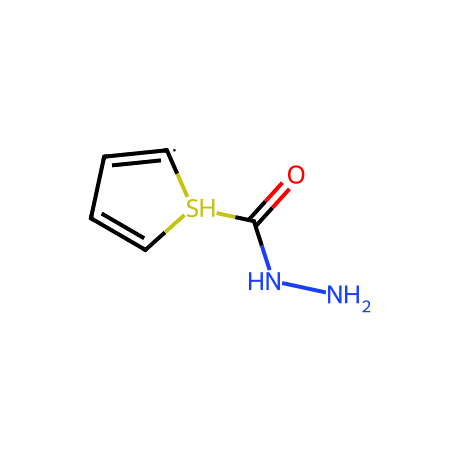 NNC(=O)[SH]1[C]=CC=C1